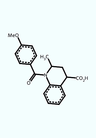 COc1ccc(C(=O)N2c3ccccc3C(C(=O)O)CC2C)cc1